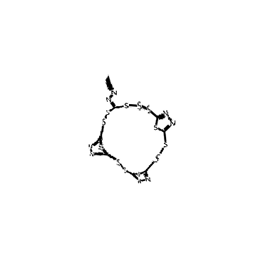 C=N/N=c1\sssc2nnc(ssc3nnc(ssc4nnc(ss1)s4)s3)s2